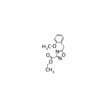 CCOC(=O)c1noc(Cc2ccccc2OC)n1